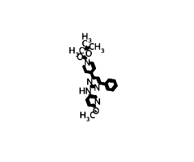 COc1ccc(Nc2nc(-c3ccccc3)cc(C3C=CN(C(=O)OC(C)(C)C)CC3)n2)cn1